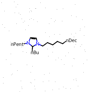 CCCCCCCCCCCCCCCN1C=CN(CCCCC)C1CCCC